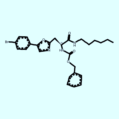 CCCCCCNC(=O)[C@H](Cc1ncc(-c2ccc(Br)cc2)o1)NC(=O)OCc1ccccc1